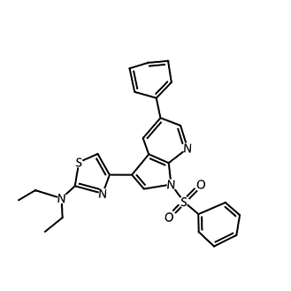 CCN(CC)c1nc(-c2cn(S(=O)(=O)c3ccccc3)c3ncc(-c4ccccc4)cc23)cs1